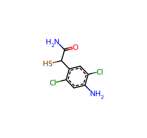 NC(=O)C(S)c1cc(Cl)c(N)cc1Cl